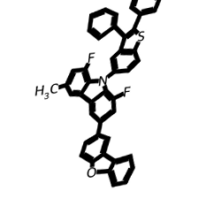 Cc1cc(F)c2c(c1)c1cc(-c3ccc4oc5ccccc5c4c3)cc(F)c1n2-c1ccc2sc(-c3ccccc3)c(-c3ccccc3)c2c1